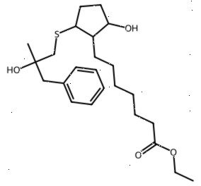 CCOC(=O)CCCCCCC1C(O)CCC1SCC(C)(O)Cc1ccccc1